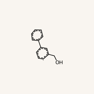 OCc1[c]ccc(-c2ccccc2)c1